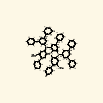 CC(C)(C)c1cc2c(cc1-c1ccccc1)B1c3cc(-c4ccccc4)c(C(C)(C)C)cc3N(c3cc(-c4ccccc4)cc(-c4ccccc4)c3)c3cc(-c4ccccc4)cc(c31)N2c1cc(-c2ccccc2)cc(-c2ccccc2)c1